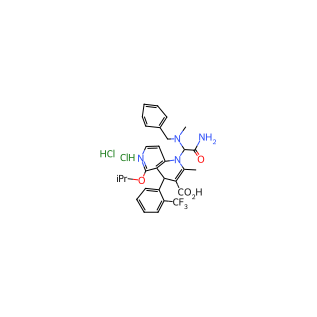 CC1=C(C(=O)O)C(c2ccccc2C(F)(F)F)c2c(ccnc2OC(C)C)N1C(C(N)=O)N(C)Cc1ccccc1.Cl.Cl